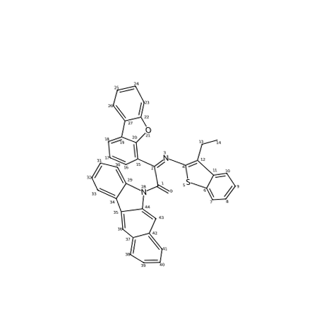 C=C(/C(=N\c1sc2ccccc2c1CC)c1cccc2c1oc1ccccc12)n1c2ccccc2c2cc3ccccc3cc21